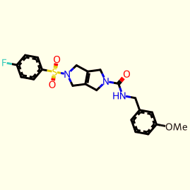 COc1cccc(CNC(=O)N2CC3=C(C2)CN(S(=O)(=O)c2ccc(F)cc2)C3)c1